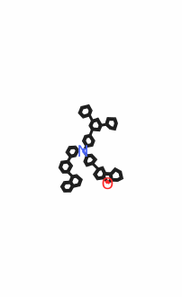 c1ccc(-c2cc(-c3ccccc3)cc(-c3ccc(N(c4ccc(-c5ccc6oc7ccccc7c6c5)cc4)c4cccc(-c5cccc(-c6cccc7ccccc67)c5)c4)cc3)c2)cc1